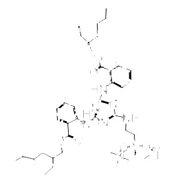 CCCCC(CC)COC(=O)c1ccccc1Nc1nc(NCC[Si](C)(O[Si](C)(C)C)O[Si](C)(C)C)nc(Nc2ccccc2C(=O)OCC(CC)CCCC)n1